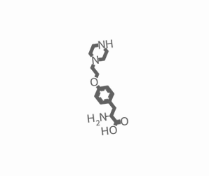 N[C@H](Cc1ccc(OCCN2CCNCC2)cc1)C(=O)O